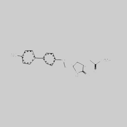 COC(=O)C[C@H]1C[C@@H](COc2ccc(-c3ccc(C#N)cc3)cc2)NC1=O